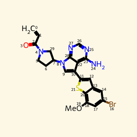 C=CC(=O)N1CCC(n2cc(-c3cc4cc(Br)cc(OC)c4s3)c3c(N)ncnc32)C1